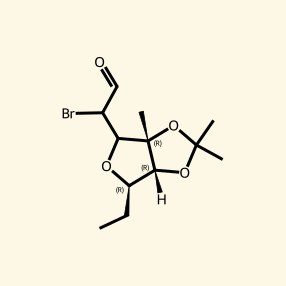 CC[C@H]1OC(C(Br)C=O)[C@]2(C)OC(C)(C)O[C@H]12